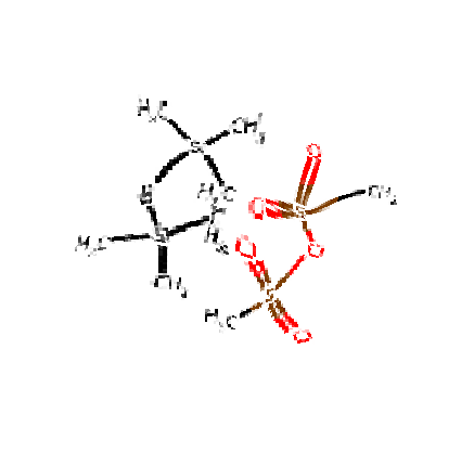 CS(=O)(=O)OS(C)(=O)=O.C[Si](C)(C)[B][Si](C)(C)C